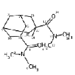 CN(C)C(=O)C12CC3CC(C1)CC(C(=O)N(C)C)(C3)C2